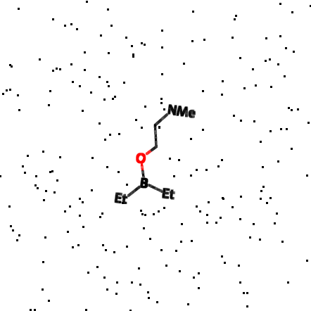 CCB(CC)OCCNC